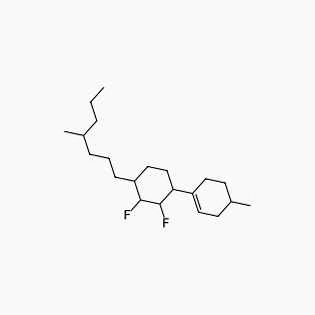 CCCC(C)CCCC1CCC(C2=CCC(C)CC2)C(F)C1F